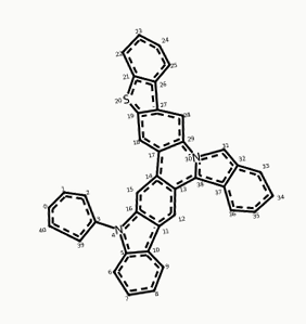 c1ccc(-n2c3ccccc3c3cc4c(cc32)c2cc3sc5ccccc5c3cc2n2cc3ccccc3c42)cc1